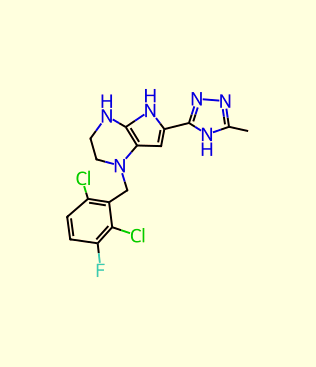 Cc1nnc(-c2cc3c([nH]2)NCCN3Cc2c(Cl)ccc(F)c2Cl)[nH]1